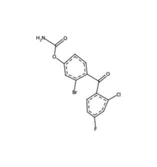 NC(=O)Oc1ccc(C(=O)c2ccc(F)cc2Cl)c(Br)c1